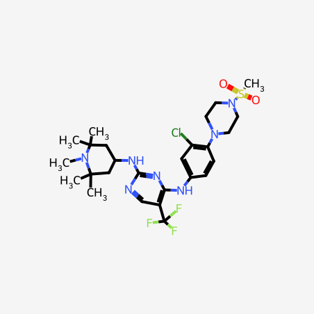 CN1C(C)(C)CC(Nc2ncc(C(F)(F)F)c(Nc3ccc(N4CCN(S(C)(=O)=O)CC4)c(Cl)c3)n2)CC1(C)C